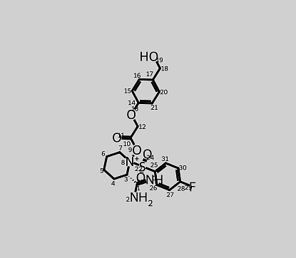 N=C(N)[C@@H]1CCCC[N+]1(OC(=O)COc1ccc(CO)cc1)S(=O)(=O)c1ccc(F)cc1